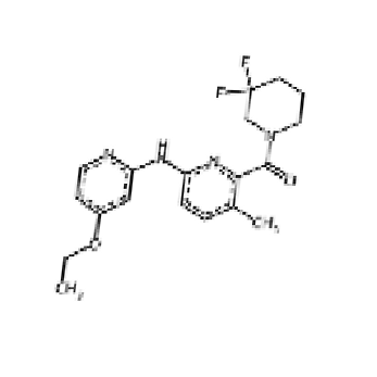 CCOc1ccnc(Nc2ccc(C)c(C(=O)N3CCCC(F)(F)C3)n2)c1